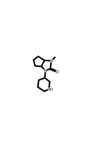 CN1C(=O)N(C2CCCNC2)C2CCCC21